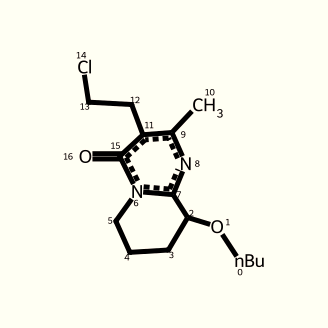 CCCCOC1CCCn2c1nc(C)c(CCCl)c2=O